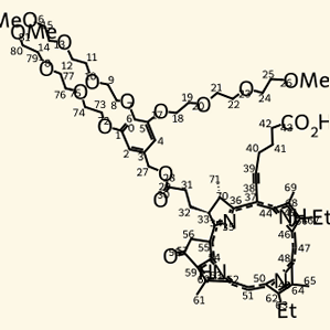 C=C(/C=C(\C=C(/COCCOCCOCCOC)OCCOCCOCCOC)COC(=O)CC[C@@H]1c2nc(c(C#CCCCC(=O)O)c3[nH]c(cc4nc(cc5[nH]c6c2CC(=O)c6c5C)C(CC)=C4C)c(CC)c3C)[C@H]1C)OCCOCCOCCOC